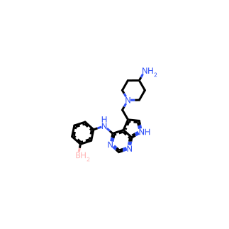 Bc1cccc(Nc2ncnc3[nH]cc(CN4CCC(N)CC4)c23)c1